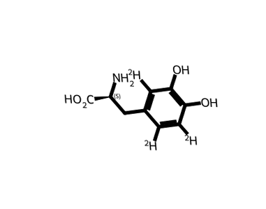 [2H]c1c([2H])c(C[C@H](N)C(=O)O)c([2H])c(O)c1O